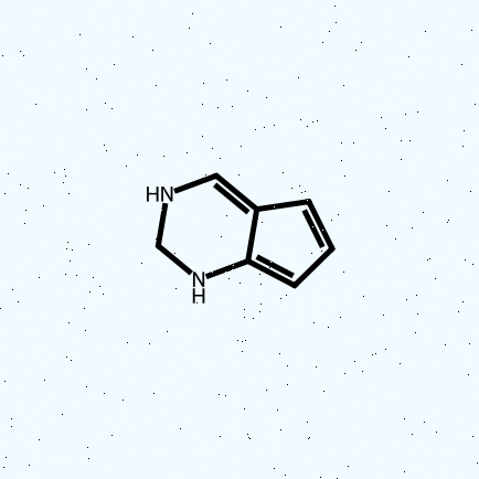 C1=CC2=CNCNC2=C1